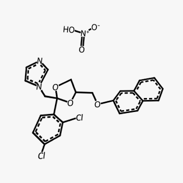 Clc1ccc(C2(Cn3ccnc3)OCC(COc3ccc4ccccc4c3)O2)c(Cl)c1.O=[N+]([O-])O